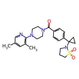 Cc1cnc(N2CCN(C(=O)c3ccc(C4(N5CCCS5(=O)=O)CC4)cc3)CC2)c(C)c1